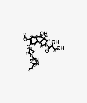 CCc1nnc(N2CC(Oc3cc([C@@H]4CN(C(=O)C(O)CO)C[C@@]4(C)C(C)O)ccc3OC)C2)s1